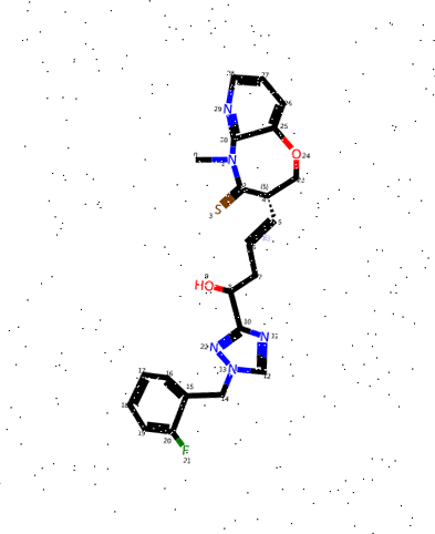 CN1C(=S)[C@@H](/C=C/CC(O)c2ncn(Cc3ccccc3F)n2)COc2cccnc21